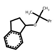 CC(C)C(C)(C)OC1CCc2ccccc21